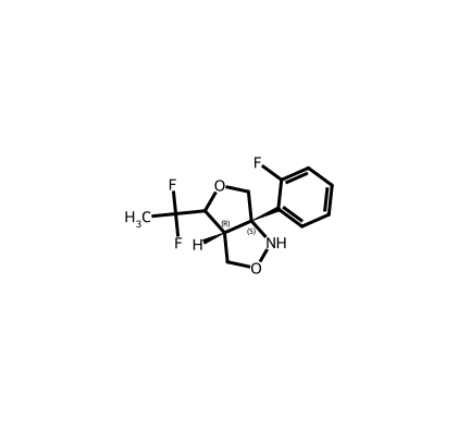 CC(F)(F)C1OC[C@]2(c3ccccc3F)NOC[C@H]12